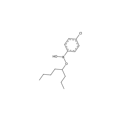 CCCCC(CCC)OB(O)c1ccc(Cl)cc1